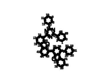 c1ccc(-c2nc(-c3ccccc3)nc(-c3cccc4c3oc3c(-c5ccc(-c6ccccc6)c6c5oc5ccccc56)cccc34)n2)cc1